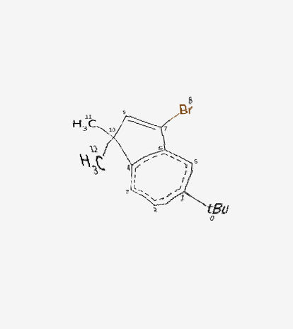 CC(C)(C)c1ccc2c(c1)C(Br)=CC2(C)C